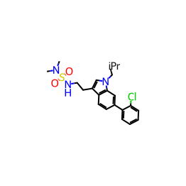 CC(C)Cn1cc(CCNS(=O)(=O)N(C)C)c2ccc(-c3ccccc3Cl)cc21